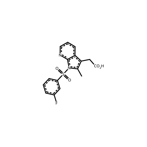 Cc1c(CC(=O)O)c2cccnc2n1S(=O)(=O)c1cccc(F)c1